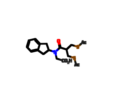 CC(=O)SCC(CSC(C)=O)C(=O)N(CC(=O)O)C1Cc2ccccc2C1